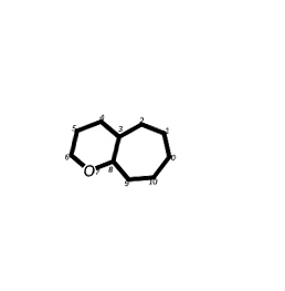 C1CCC2CCCOC2CC1